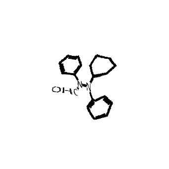 O=CN(c1ccccc1)N(c1ccccc1)C1CCCCC1